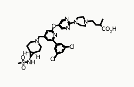 CC(CCN1CCN(c2ncc(Oc3cc(CN4CC[C@@H]5[C@H](CC4)[C@@H]5NS(C)(=O)=O)cc(-c4cc(Cl)cc(Cl)c4)n3)cn2)CC1)C(=O)O